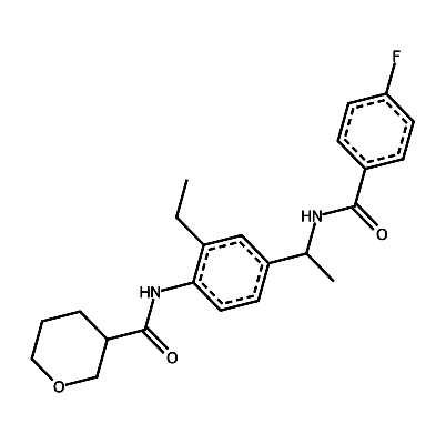 CCc1cc(C(C)NC(=O)c2ccc(F)cc2)ccc1NC(=O)C1CCCOC1